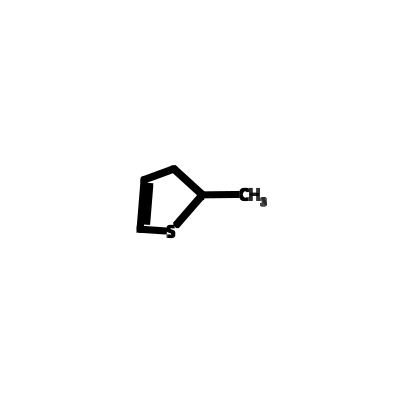 C[C]1CC=CS1